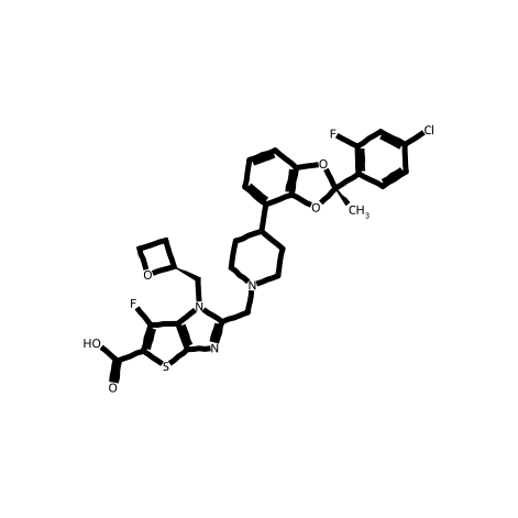 C[C@]1(c2ccc(Cl)cc2F)Oc2cccc(C3CCN(Cc4nc5sc(C(=O)O)c(F)c5n4C[C@@H]4CCO4)CC3)c2O1